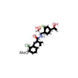 C=C(C)/C(=C\c1c(C)ccc(OC)c1Cl)C(=O)N[C@H](CO)c1ccc(C(=C)O)cc1F